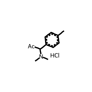 CC(=O)C(c1ccc(C)cc1)N(C)C.Cl